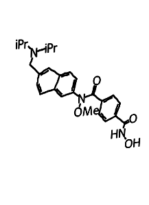 CON(C(=O)c1ccc(C(=O)NO)cc1)c1ccc2cc(CN(C(C)C)C(C)C)ccc2c1